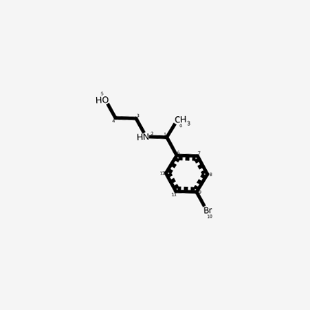 CC(NCCO)c1ccc(Br)cc1